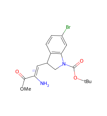 COC(=O)/C(N)=C/C1CN(C(=O)OC(C)(C)C)c2cc(Br)ccc21